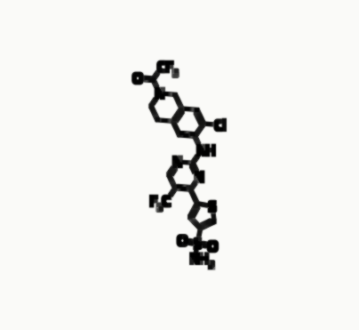 NS(=O)(=O)c1csc(-c2nc(Nc3cc4c(cc3Cl)CN(C(=O)C(F)(F)F)CC4)ncc2C(F)(F)F)c1